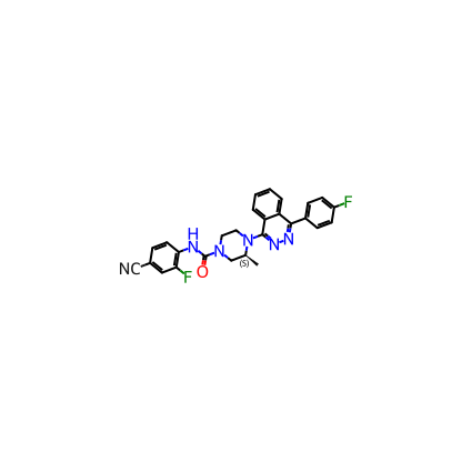 C[C@H]1CN(C(=O)Nc2ccc(C#N)cc2F)CCN1c1nnc(-c2ccc(F)cc2)c2ccccc12